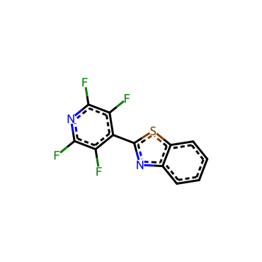 Fc1nc(F)c(F)c(-c2nc3ccccc3s2)c1F